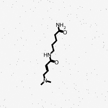 CN(C)CC=CC(=O)NCCCCC(N)=O